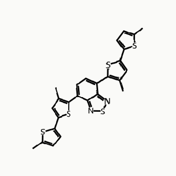 Cc1ccc(-c2cc(C)c(-c3ccc(-c4sc(-c5ccc(C)s5)cc4C)c4nsnc34)s2)s1